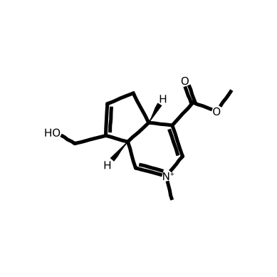 COC(=O)C1=C[N+](C)=C[C@@H]2C(CO)=CC[C@H]12